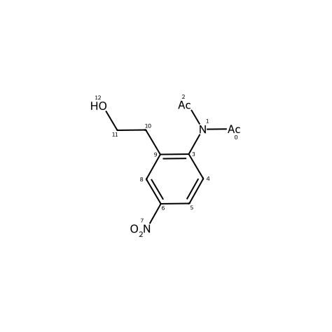 CC(=O)N(C(C)=O)c1ccc([N+](=O)[O-])cc1CCO